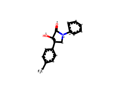 O=C1C(O)=C(c2ccc(C(F)(F)F)cc2)CN1c1ccccc1